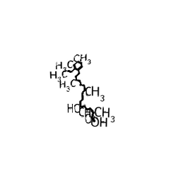 CCCC1=C(C)C(C)CC=C1CCC(C)CCCC(C)CCCC(C)(O)CCCC(C)C(=O)O